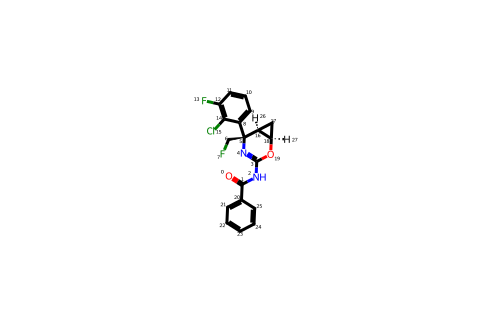 O=C(NC1=N[C@](CF)(c2cccc(F)c2Cl)[C@H]2C[C@H]2O1)c1ccccc1